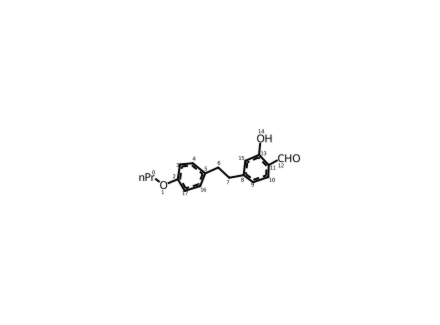 CCCOc1ccc(CCc2ccc(C=O)c(O)c2)cc1